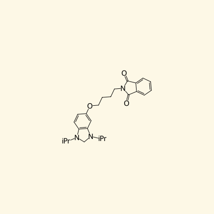 CC(C)N1CN(C(C)C)c2cc(OCCCCN3C(=O)c4ccccc4C3=O)ccc21